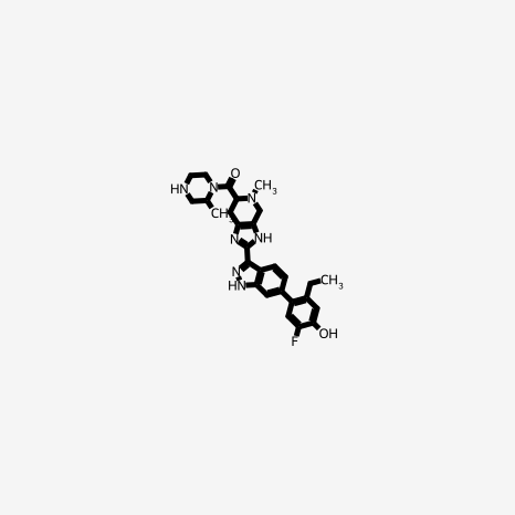 CCc1cc(O)c(F)cc1-c1ccc2c(-c3nc4c([nH]3)CN(C)C(C(=O)N3CCNCC3C)C4)n[nH]c2c1